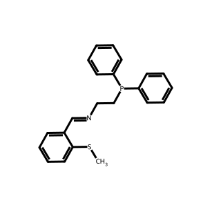 CSc1ccccc1/C=N/CCP(c1ccccc1)c1ccccc1